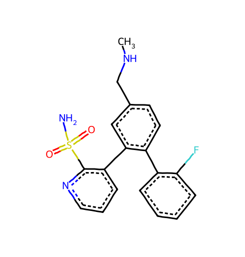 CNCc1ccc(-c2ccccc2F)c(-c2cccnc2S(N)(=O)=O)c1